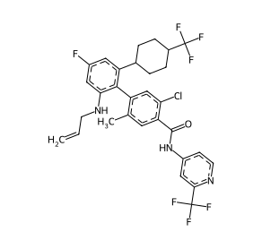 C=CCNc1cc(F)cc(C2CCC(C(F)(F)F)CC2)c1-c1cc(Cl)c(C(=O)Nc2ccnc(C(F)(F)F)c2)cc1C